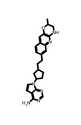 CC1CNc2nc3cc(CCC4CCC(n5ccc6c(N)ncnc65)C4)ccc3cc2O1